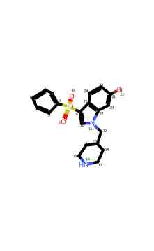 O=S(=O)(c1ccccc1)c1cn(CC2CCNCC2)c2cc(Br)ccc12